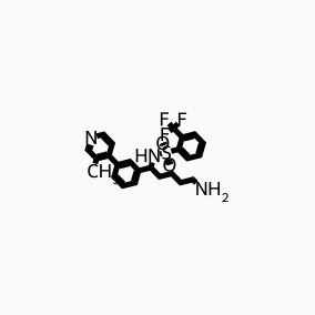 Cc1cnccc1-c1cccc(C(CCCCN)NS(=O)(=O)c2ccccc2C(F)(F)F)c1